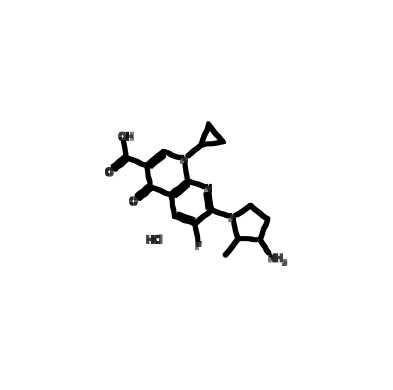 CC1C(N)CCN1c1nc2c(cc1F)c(=O)c(C(=O)O)cn2C1CC1.Cl